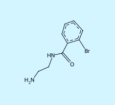 NCCNC(=O)c1ccccc1Br